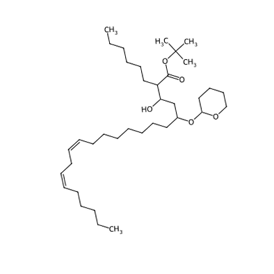 CCCCC/C=C\C/C=C\CCCCCCCC(CC(O)C(CCCCCC)C(=O)OC(C)(C)C)OC1CCCCO1